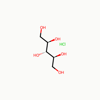 Cl.OC[C@@H](O)[C@@H](O)[C@@H](O)CO